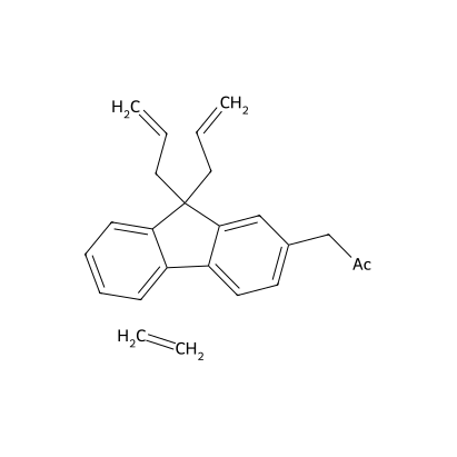 C=C.C=CCC1(CC=C)c2ccccc2-c2ccc(CC(C)=O)cc21